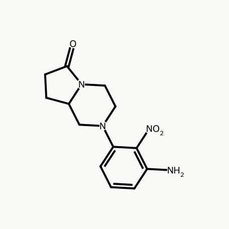 Nc1cccc(N2CCN3C(=O)CCC3C2)c1[N+](=O)[O-]